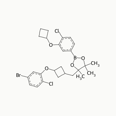 CC1(C)OB(c2ccc(Cl)c(OC3CCC3)c2)OC1(C)CC1CC(Oc2cc(Br)ccc2Cl)C1